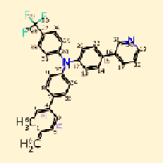 C=C/C=C\C(=C/C)c1ccc(N(c2ccc(-c3cccnc3)cc2)c2ccc(C(F)(F)F)cc2)cc1